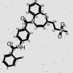 Cc1ccccc1C(=O)Nc1ccc(C(=O)N2C=CC(CCS(C)(=O)=O)Sc3ccccc32)cc1